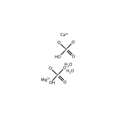 O.O.O=P([O-])([O-])O.O=P([O-])([O-])O.[Ca+2].[Mg+2]